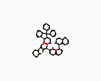 c1ccc(-c2c(N(c3ccc4c(c3)C(c3ccccc3)(c3ccccc3)c3ccccc3-4)c3ccccc3-c3cccc4c3sc3ccccc34)ccc3ccccc23)cc1